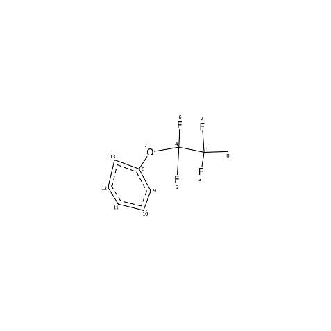 CC(F)(F)C(F)(F)Oc1c[c]ccc1